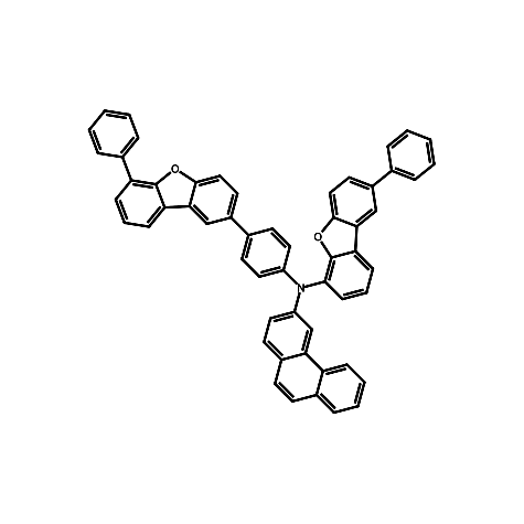 c1ccc(-c2ccc3oc4c(N(c5ccc(-c6ccc7oc8c(-c9ccccc9)cccc8c7c6)cc5)c5ccc6ccc7ccccc7c6c5)cccc4c3c2)cc1